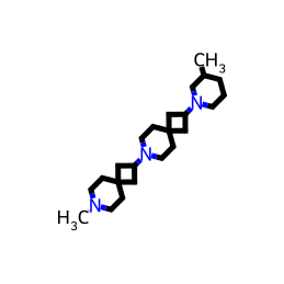 CC1CCCN(C2CC3(CCN(C4CC5(CCN(C)CC5)C4)CC3)C2)C1